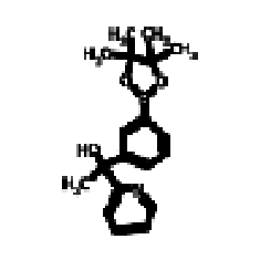 CC(O)(c1cccc(B2OC(C)(C)C(C)(C)O2)c1)c1ccccn1